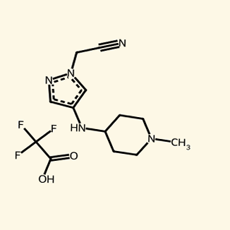 CN1CCC(Nc2cnn(CC#N)c2)CC1.O=C(O)C(F)(F)F